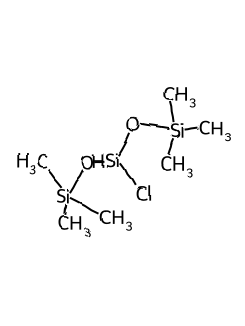 C[Si](C)(C)O[SiH](Cl)O[Si](C)(C)C